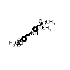 CCOC(=O)[C@H](Cc1ccc(NC/C=C/c2ccc(OS(C)(=O)=O)cc2)cc1)OC